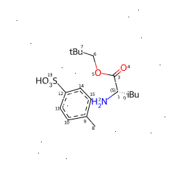 CCC(C)[C@H](N)C(=O)OCC(C)(C)C.Cc1ccc(S(=O)(=O)O)cc1